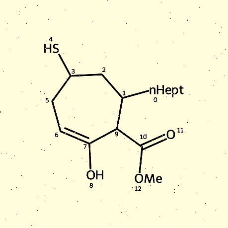 CCCCCCCC1CC(S)CC=C(O)C1C(=O)OC